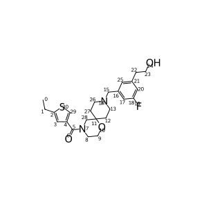 CCc1cc(C(=O)N2CCOC3(CCN(Cc4cc(F)cc(CCO)c4)CC3)C2)cs1